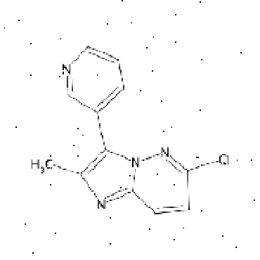 Cc1nc2ccc(Cl)nn2c1-c1cccnc1